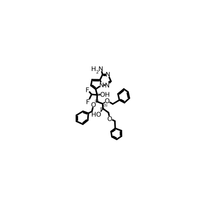 Nc1ncnn2c([C@@](O)(C(F)F)[C@@H](OCc3ccccc3)[C@@H](OCc3ccccc3)[C@H](O)COCc3ccccc3)ccc12